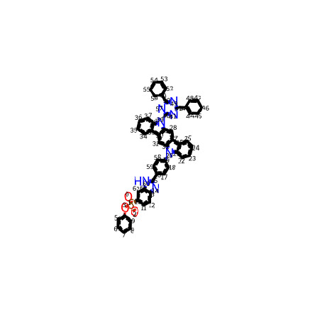 O=S(=O)(Oc1ccccc1)c1ccc2nc(-c3ccc(-n4c5ccccc5c5cc6c(cc54)c4ccccc4n6-c4nc(C5=CCCC=C5)nc(C5C=CC=CC5)n4)cc3)[nH]c2c1